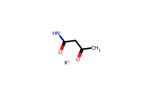 CC(=O)CC([NH-])=O.[K+]